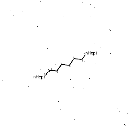 [CH2]CCCCCCSCCCCCCCCCCCC